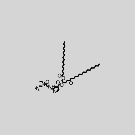 CCCCCCCCCCCCCCCC(=O)CCC(COC(=O)CCCCCCCCCCCCCCC)OC(=O)c1ccnc(CNCC(=O)N(CC)CCN(C)C)c1